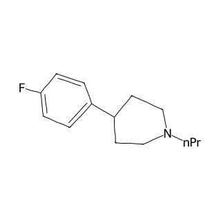 CCCN1CCC(c2ccc(F)cc2)CC1